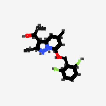 CCCc1nn2c(OCc3c(F)cccc3F)cc(C)cc2c1C(=O)OC